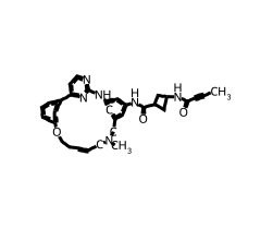 CC#CC(=O)NC1CC(C(=O)Nc2cc3cc(c2)Nc2nccc(n2)-c2cccc(c2)OCC/C=C/CN(C)C3)C1